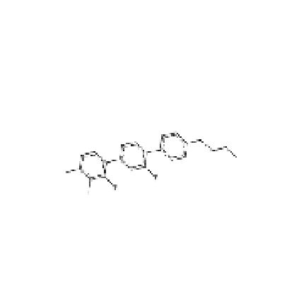 CCCCc1ccc(-c2ccc(-c3ccc(C)c(C)c3F)cc2F)cc1